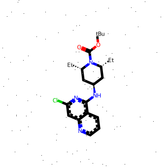 CC[C@@H]1C[C@@H](Nc2nc(Cl)cc3ncccc23)C[C@H](CC)N1C(=O)OC(C)(C)C